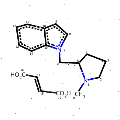 CN1CCCC1Cn1ccc2ccccc21.O=C(O)C=CC(=O)O